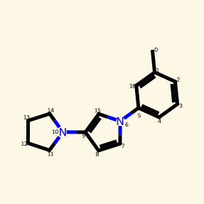 Cc1cccc(-n2ccc(N3CCCC3)c2)c1